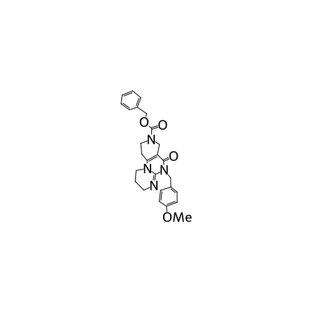 COc1ccc(CN2C(=O)C3=C(CCN(C(=O)OCc4ccccc4)C3)N3CCCN=C23)cc1